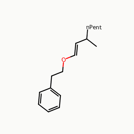 CCCCCC(C)C=COCCc1ccccc1